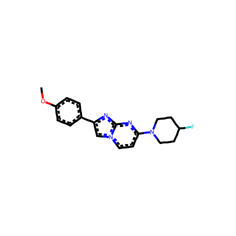 COc1ccc(-c2cn3ccc(N4CCC(F)CC4)nc3n2)cc1